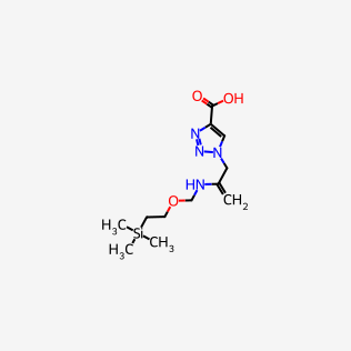 C=C(Cn1cc(C(=O)O)nn1)NCOCC[Si](C)(C)C